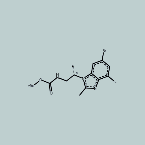 Cc1nc2c(F)cc(Br)cc2n1[C@@H](C)CNC(=O)OC(C)(C)C